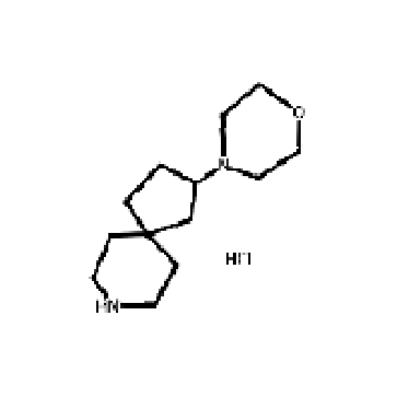 C1CC2(CCN1)CCC(N1CCOCC1)C2.Cl